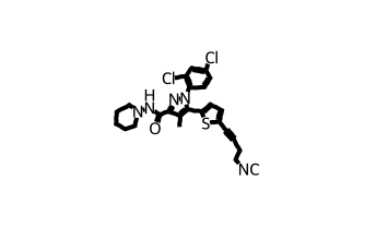 [C-]#[N+]CCC#Cc1ccc(-c2c(C)c(C(=O)NN3CCCCC3)nn2-c2ccc(Cl)cc2Cl)s1